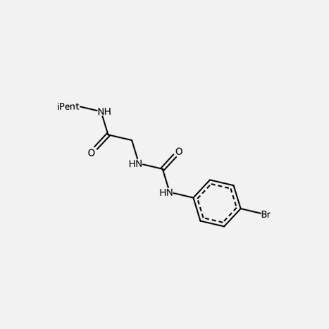 CCCC(C)NC(=O)CNC(=O)Nc1ccc(Br)cc1